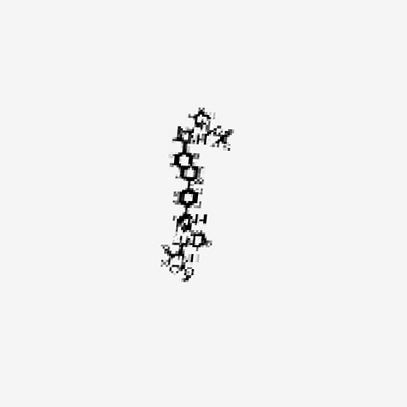 COC(=O)N[C@H](C(=O)N1CCC[C@H]1c1ncc(-c2ccc(-c3ccc4cc(-c5cnc([C@@H]6CCCN6C(=O)OC(C)(C)C)[nH]5)ccc4c3)cc2)[nH]1)C(C)C